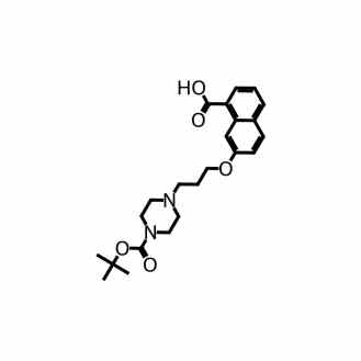 CC(C)(C)OC(=O)N1CCN(CCCOc2ccc3cccc(C(=O)O)c3c2)CC1